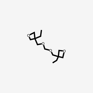 CCC1(COCOCC2(CC)COC2)COC1